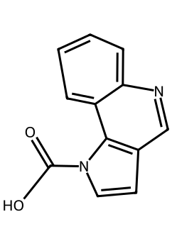 O=C(O)n1ccc2cnc3ccccc3c21